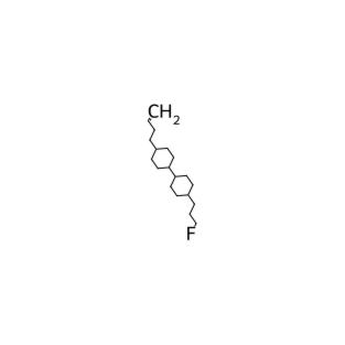 C=CCCC1CCC(C2CCC(CCCF)CC2)CC1